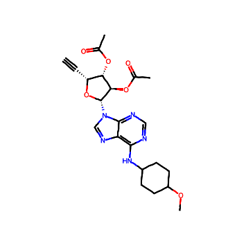 C#C[C@H]1O[C@@H](n2cnc3c(NC4CCC(OC)CC4)ncnc32)[C@H](OC(C)=O)[C@H]1OC(C)=O